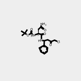 CC(C)(C)OC(=O)N[C@@H](CC(N)=O)C(=O)NC(CC(=O)CCl)c1ccccc1